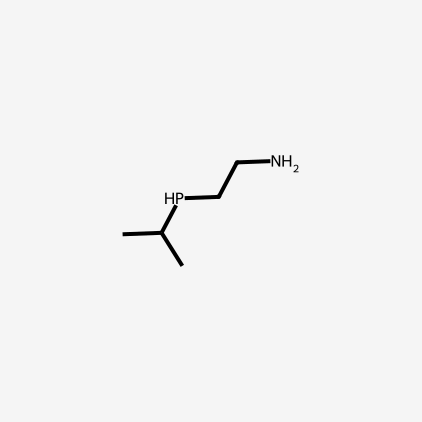 CC(C)PCCN